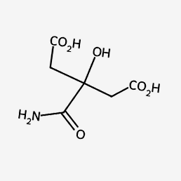 NC(=O)C(O)(CC(=O)O)CC(=O)O